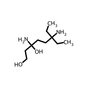 CCC(N)(CC)CCC(N)(O)CCO